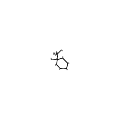 C[SiH2]C1(C)CCCCC1